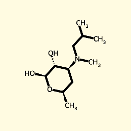 CC(C)CN(C)[C@H]1C[C@@H](C)O[C@@H](O)[C@@H]1O